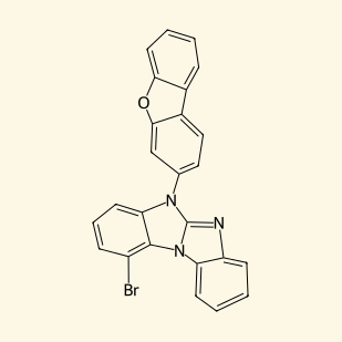 Brc1cccc2c1n1c3ccccc3nc1n2-c1ccc2c(c1)oc1ccccc12